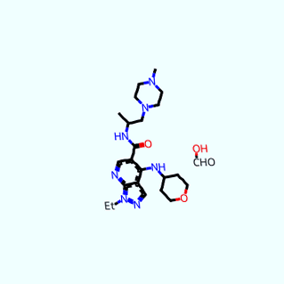 CCn1ncc2c(NC3CCOCC3)c(C(=O)NC(C)CN3CCN(C)CC3)cnc21.O=CO